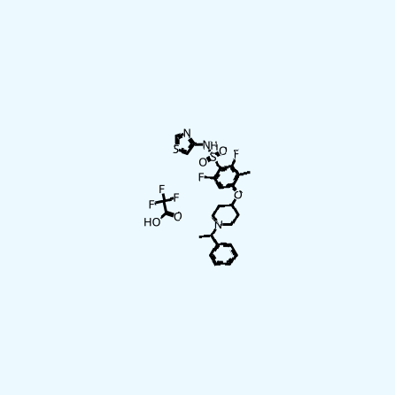 Cc1c(OC2CCN(C(C)c3ccccc3)CC2)cc(F)c(S(=O)(=O)Nc2cscn2)c1F.O=C(O)C(F)(F)F